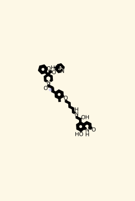 Cc1cc(/C=C/C(=O)N2CCC(C(=O)O[C@H]3CN4CCC3CC4)(c3ccccc3)CC2)ccc1OCCCCCNC[C@H](O)c1ccc(O)c2[nH]c(=O)ccc12